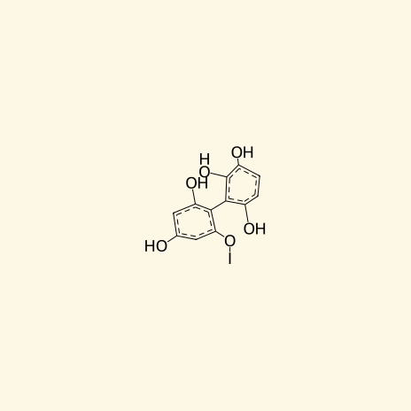 Oc1cc(O)c(-c2c(O)ccc(O)c2O)c(OI)c1